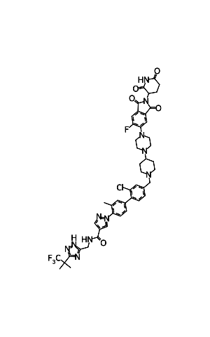 Cc1cc(-c2ccc(CN3CCC(N4CCN(c5cc6c(cc5F)C(=O)N(C5CCC(=O)NC5=O)C6=O)CC4)CC3)cc2Cl)ccc1-n1cc(C(=O)NCc2nc(C(C)(C)C(F)(F)F)n[nH]2)cn1